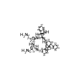 NCCCCC1NC(=O)[C@@H](CCCN)NCc2cccnc2Sc2c(ccc(-c3ccccc3)c2Cl)CNC(=O)C(Cc2c[nH]c3ccccc23)NC1=O